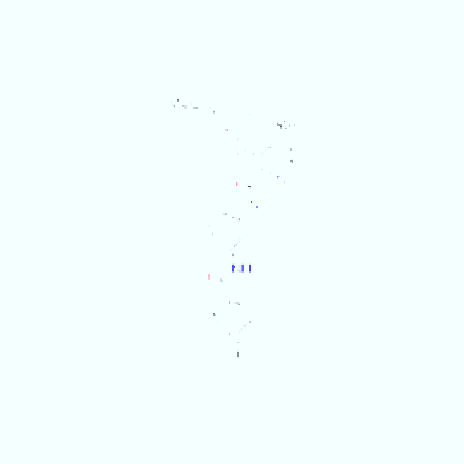 COCCC(=O)Oc1c(OC)ccnc1C(=O)Nc1cccc(NC(=O)c2ccc(C(F)(F)F)cc2)c1